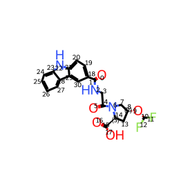 O=C(NCC(=O)N1C[C@H](OC(F)F)C[C@H]1C(=O)O)c1ccc2[nH]c3ccccc3c2c1